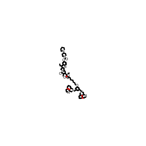 CCc1c2c(nc3ccc(OC(=O)N4CCC(N5CCCCC5)CC4)cc13)-c1cc3c(c(=O)n1C2)COC(=O)[C@]3(CC)OC(=O)CCCCCCOc1cc(CN(Cc2ccccn2)Cc2ccccn2)cc(CN(Cc2ccccn2)Cc2ccccn2)c1